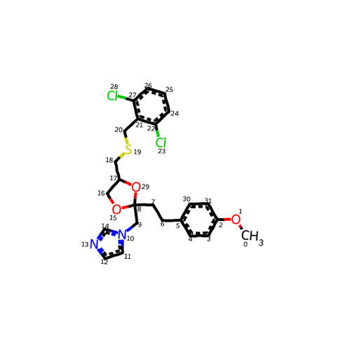 COc1ccc(CCC2(Cn3ccnc3)OCC(CSCc3c(Cl)cccc3Cl)O2)cc1